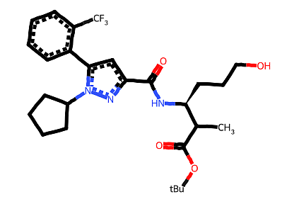 CC(C(=O)OC(C)(C)C)[C@H](CCCO)NC(=O)c1cc(-c2ccccc2C(F)(F)F)n(C2CCCC2)n1